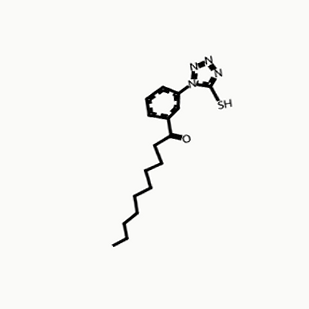 CCCCCCCCCC(=O)c1cccc(-n2nnnc2S)c1